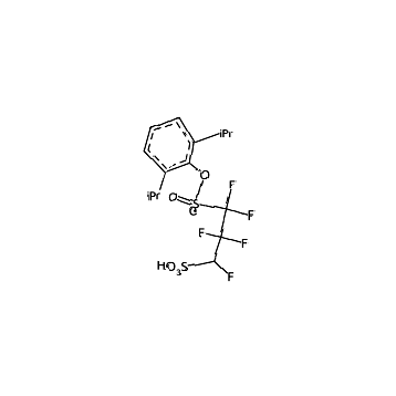 CC(C)c1cccc(C(C)C)c1OS(=O)(=O)C(F)(F)C(F)(F)C(F)S(=O)(=O)O